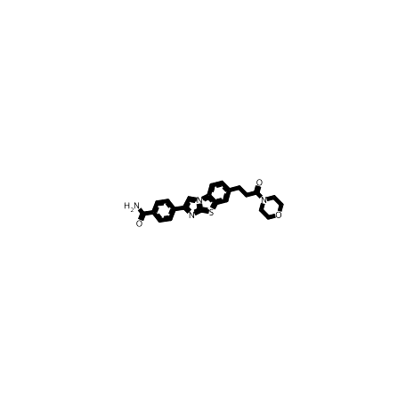 NC(=O)c1ccc(-c2cn3c(n2)sc2cc(CCC(=O)N4CCOCC4)ccc23)cc1